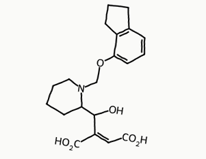 O=C(O)/C=C(/C(=O)O)C(O)C1CCCCN1COc1cccc2c1CCC2